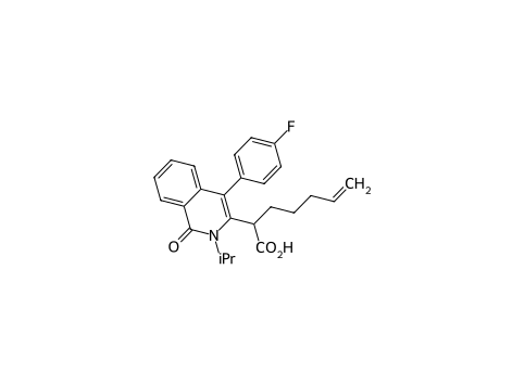 C=CCCCC(C(=O)O)c1c(-c2ccc(F)cc2)c2ccccc2c(=O)n1C(C)C